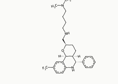 CN(C)CCCCNC[C@H]1CC[C@@H]2[C@H](O1)c1cc(C(F)(F)F)ccc1N[C@H]2c1ccccc1